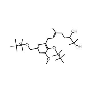 COc1cc(CO[Si](C)(C)C(C)(C)C)cc(C/C=C(\C)CCC(O)C(C)(C)O)c1O[Si](C)(C)C(C)(C)C